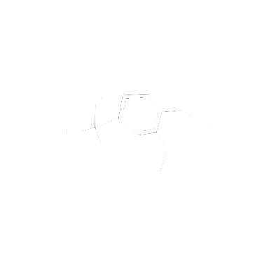 CC(=O)OC(C)(C)c1ccc(OC(F)(F)F)c(OC(F)(F)F)c1